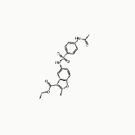 CCOC(=O)c1c(C)oc2ccc(NS(=O)(=O)c3ccc(NC(C)=O)cc3)cc12